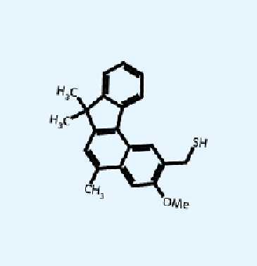 COc1cc2c(C)cc3c(c2cc1CS)-c1ccccc1C3(C)C